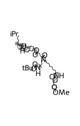 COc1ccc(COC(=O)NC(C)(C)CCCCCCCN(CCC(C)(C)NC(=O)OC(C)(C)C)C(=O)CCC(=O)O[C@H]2CC[C@@]3(C)C(=CC[C@@H]4C3CC[C@]3(C)[C@@H]([C@H](C)CCCC(C)C)CC[C@@H]43)C2)cc1